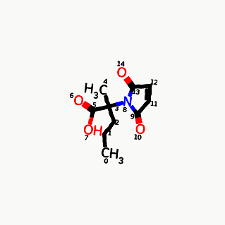 CCCC(C)(C(=O)O)N1C(=O)C=CC1=O